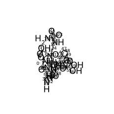 C[C@H](NC(=O)[C@H](CC(=O)O)NC(=O)CCCNc1c(N)c(=O)c1=O)C(=O)N[C@@H](Cc1c[nH]cn1)C(=O)N[C@@H](CO)C(=O)N[C@@H](Cc1ccccc1)C(=O)N[C@@H](CO)C(=O)O